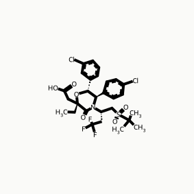 CC[C@@]1(CC(=O)O)O[C@H](c2cccc(Cl)c2)[C@@H](c2ccc(Cl)cc2)N([C@@H](CC(F)(F)F)CS(=O)(=O)C(C)(C)C)C1=O